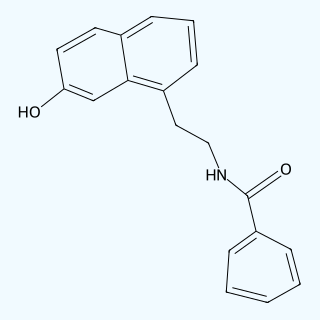 O=C(NCCc1cccc2ccc(O)cc12)c1ccccc1